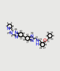 CN(Cc1ccccn1)Cc1nc2cc(-c3ccc4nc(CNCc5ccccc5OCc5ccccc5)n(C)c4c3)ccc2n1C